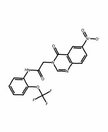 O=C(Cn1cnc2ccc([N+](=O)[O-])cc2c1=O)Nc1ccccc1OC(F)(F)F